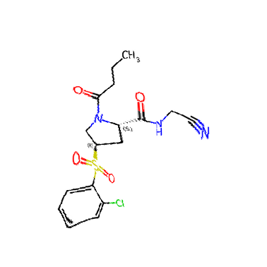 CCCC(=O)N1C[C@H](S(=O)(=O)c2ccccc2Cl)C[C@H]1C(=O)NCC#N